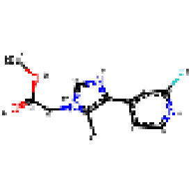 Cc1c(-c2ccnc(F)c2)ncn1CC(=O)OC(C)(C)C